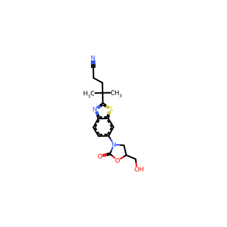 CC(C)(CCC#N)c1nc2ccc(N3CC(CO)OC3=O)cc2s1